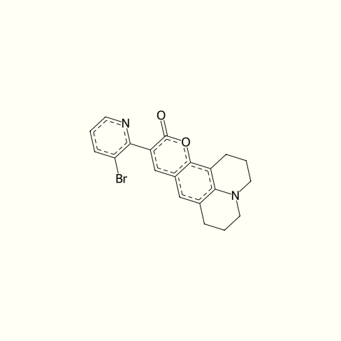 O=c1oc2c3c4c(cc2cc1-c1ncccc1Br)CCCN4CCC3